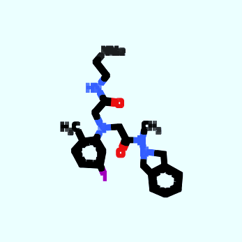 CNCCNC(=O)CN(CC(=O)N(C)N1Cc2ccccc2C1)c1cc(I)ccc1C